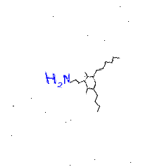 CCCCCCC1CC(CCCC)C(C)C(CCCN)C1C